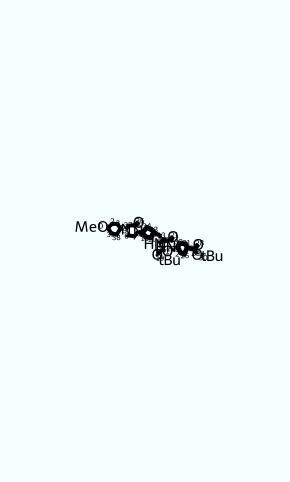 COC1CCC(N2CCN(c3ccc(C[C@H](NC(=O)OC(C)(C)C)C(=O)Nc4ccc(C(=O)OC(C)(C)C)cc4)cc3)C(=O)C2)CC1